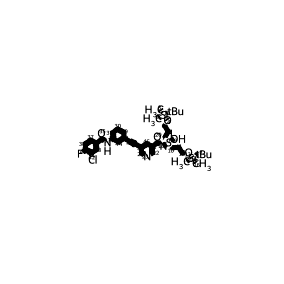 CC(C)(C)[Si](C)(C)OCCC[SH](O)(CCCO[Si](C)(C)C(C)(C)C)=NC(=O)c1cncc(C#Cc2cccc(NC(=O)c3ccc(F)c(Cl)c3)c2)c1